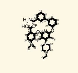 CCN1CCN(c2c(F)c(Oc3cccc(-c4cccc(CN)c4)c3)nc(Oc3cc(N(C)C)ccc3C(=O)O)c2F)CC1